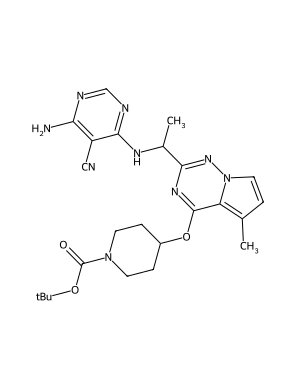 Cc1ccn2nc(C(C)Nc3ncnc(N)c3C#N)nc(OC3CCN(C(=O)OC(C)(C)C)CC3)c12